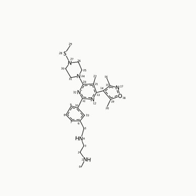 CNCCNCc1cccc(-c2nc(-c3c(C)noc3C)c(C)c(N3CCN(SC)CC3)n2)c1